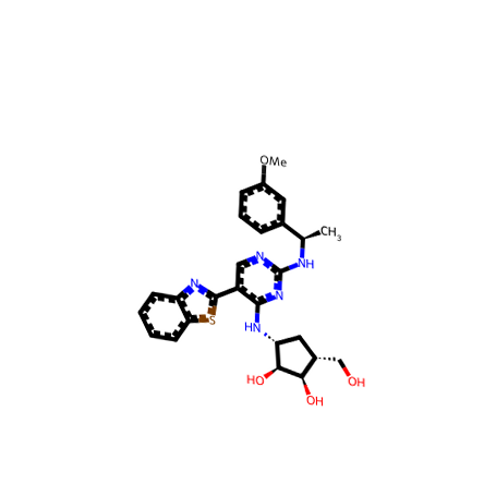 COc1cccc([C@@H](C)Nc2ncc(-c3nc4ccccc4s3)c(N[C@@H]3C[C@H](CO)[C@@H](O)[C@H]3O)n2)c1